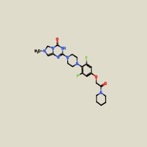 CN1C=C2N=C(N3CCN(c4c(F)cc(OCC(=O)N5CCCCC5)cc4F)CC3)NC(=O)N2C1